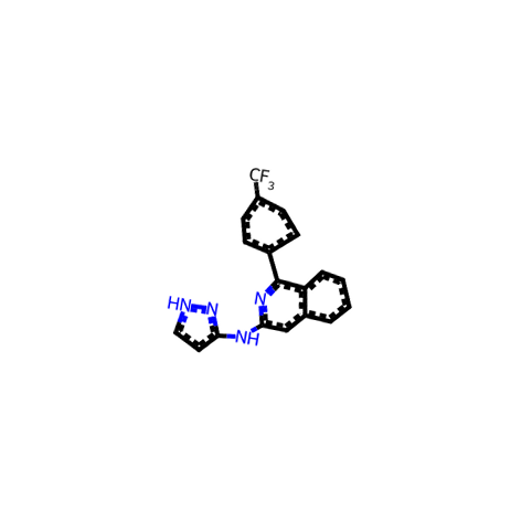 FC(F)(F)c1ccc(-c2nc(Nc3cc[nH]n3)cc3ccccc23)cc1